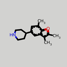 Cc1oc2c(C)cc(C3CCNCC3)cc2c1C